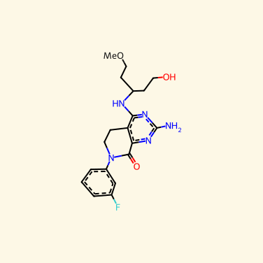 COCCC(CCO)Nc1nc(N)nc2c1CCN(c1cccc(F)c1)C2=O